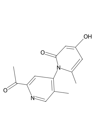 CC(=O)c1cc(-n2c(C)cc(O)cc2=O)c(C)cn1